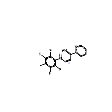 Cc1c(F)c(F)c(N/C=C\C(=N)c2ccccn2)c(F)c1F